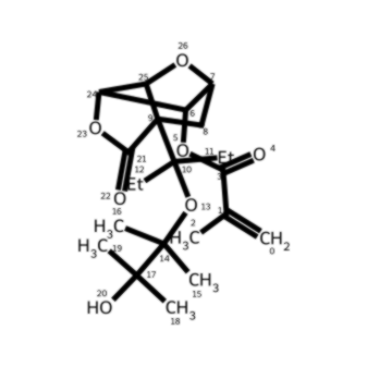 C=C(C)C(=O)OC1C2CC3(C(CC)(CC)OC(C)(C)C(C)(C)O)C(=O)OC1C3O2